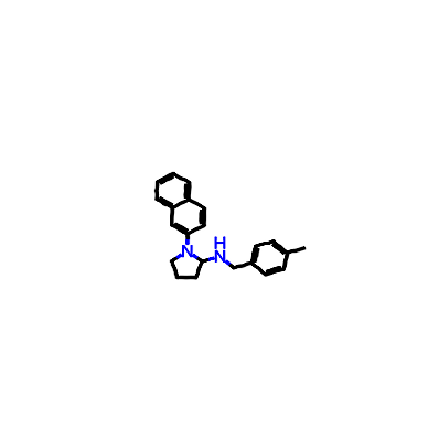 Cc1ccc(CNC2CCCN2c2ccc3ccccc3c2)cc1